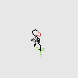 C=C[SiH](C)C1(CCCC(F)(F)F)CCCCO1